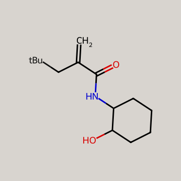 C=C(CC(C)(C)C)C(=O)NC1CCCCC1O